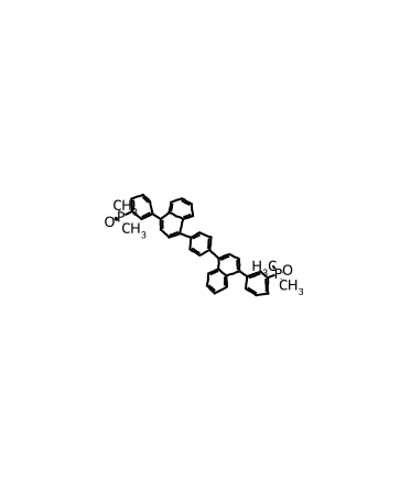 CP(C)(=O)c1cccc(-c2ccc(-c3ccc(-c4ccc(-c5cccc(P(C)(C)=O)c5)c5ccccc45)cc3)c3ccccc23)c1